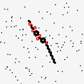 CCCCCCCCCCCCOc1ccc(C(=O)Oc2ccc(OC(=O)CCOCC)cc2)cc1